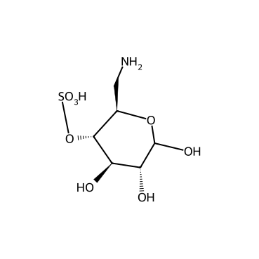 NC[C@H]1OC(O)[C@H](O)[C@@H](O)[C@@H]1OS(=O)(=O)O